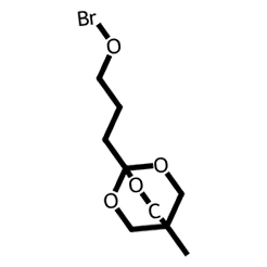 CC12COC(CCCOBr)(OC1)OC2